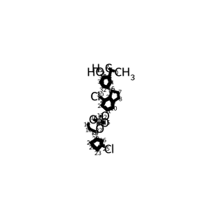 CC(C)c1cc([C@@H]2CCc3cc(OC[P@]4(=O)OCC[C@@H](c5cccc(Cl)c5)O4)cc(Cl)c32)ccc1O